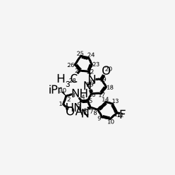 CC(=O)OC[C@H](Nc1[nH]nc(-c2ccc(F)cc2)c1-c1ccc(=O)n(-c2ccccc2C)n1)C(C)C